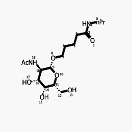 CCCNC(=O)CCCCO[C@@H]1O[C@H](CO)[C@H](O)[C@H](O)[C@H]1NC(C)=O